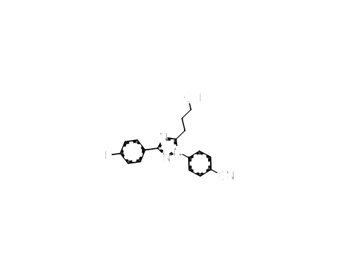 N#Cc1ccc(-n2nc(-c3ccc(F)cc3)nc2CCCO)cc1